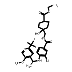 CCOC(=O)C1CCC(O)(CNC(=O)c2ccc(N[C@@H](C)c3cc(C(F)(F)F)ncc3OC)c(Cl)c2)CC1